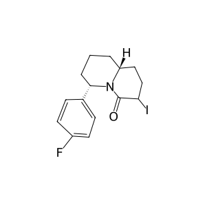 O=C1C(I)CC[C@H]2CCC[C@@H](c3ccc(F)cc3)N12